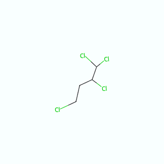 ClCCC(Cl)C(Cl)Cl